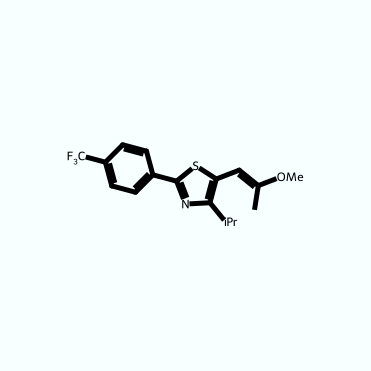 COC(C)=Cc1sc(-c2ccc(C(F)(F)F)cc2)nc1C(C)C